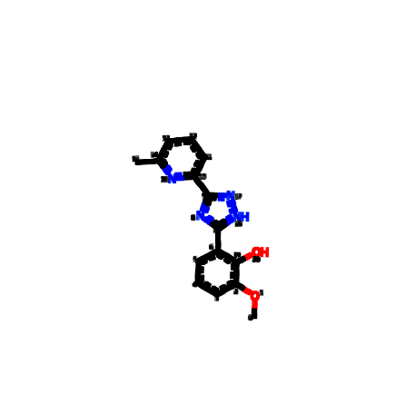 COc1cccc(-c2nc(-c3cccc(C)n3)n[nH]2)c1O